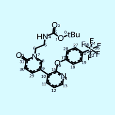 CC(C)(C)OC(=O)NCCn1cc(-c2cccnc2Oc2ccc(S(F)(F)(F)(F)F)cc2)ccc1=O